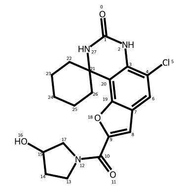 O=C1Nc2c(Cl)cc3cc(C(=O)N4CCC(O)C4)oc3c2C2(CCCCC2)N1